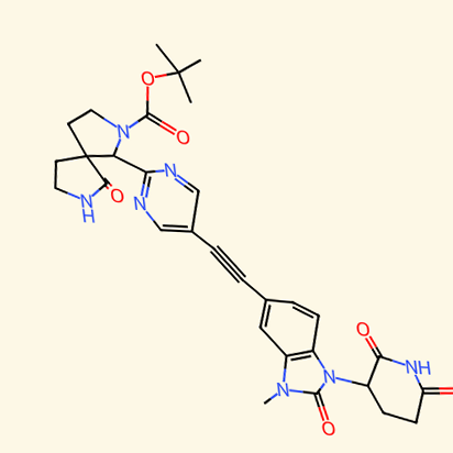 Cn1c(=O)n(C2CCC(=O)NC2=O)c2ccc(C#Cc3cnc(C4N(C(=O)OC(C)(C)C)CCC45CCNC5=O)nc3)cc21